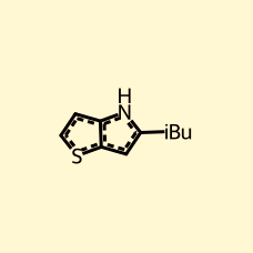 CCC(C)c1cc2sccc2[nH]1